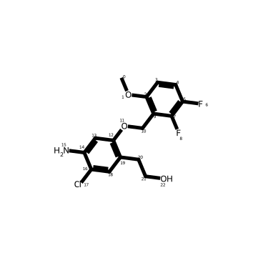 COc1ccc(F)c(F)c1COc1cc(N)c(Cl)cc1CCO